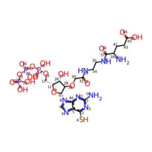 Nc1nc(S)c2ncn([C@@H]3O[C@H](COP(=O)(O)OP(=O)(O)OP(=O)(O)O)[C@H](O)C3OCC(=O)NCCNC(=O)C(N)CCC(=O)O)c2n1